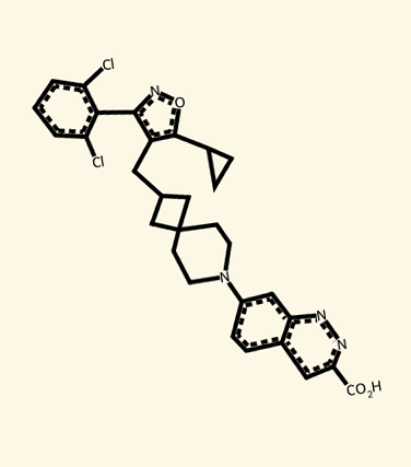 O=C(O)c1cc2ccc(N3CCC4(CC3)CC(Cc3c(-c5c(Cl)cccc5Cl)noc3C3CC3)C4)cc2nn1